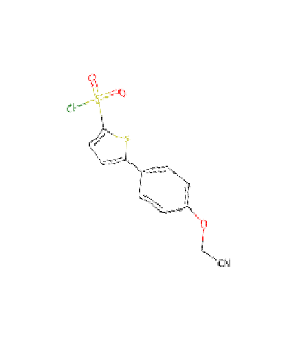 N#CCOc1ccc(-c2ccc(S(=O)(=O)Cl)s2)cc1